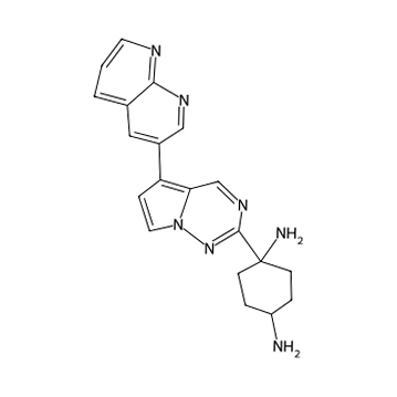 NC1CCC(N)(c2ncc3c(-c4cnc5ncccc5c4)ccn3n2)CC1